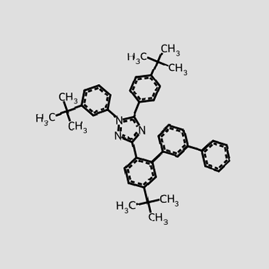 CC(C)(C)c1ccc(-c2nc(-c3ccc(C(C)(C)C)cc3-c3cccc(-c4ccccc4)c3)nn2-c2cccc(C(C)(C)C)c2)cc1